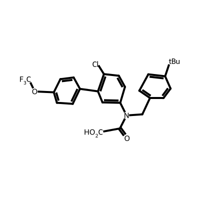 CC(C)(C)c1ccc(CN(C(=O)C(=O)O)c2ccc(Cl)c(-c3ccc(OC(F)(F)F)cc3)c2)cc1